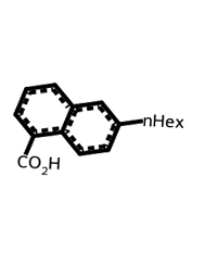 CCCCCCc1ccc2c(C(=O)O)cccc2c1